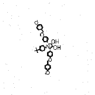 COc1ccc(COc2ccc([C@@H]3[C@H](O)[C@@H](O)[C@@H](c4ccc(OCc5ccc(OC)cc5)cc4)N3c3ccc(C(C)(C)C)cc3)cc2)cc1